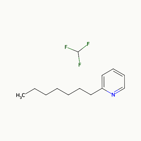 CCCCCCCc1ccccn1.FC(F)F